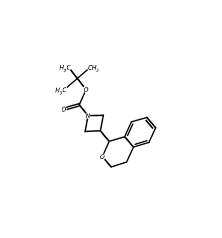 CC(C)(C)OC(=O)N1CC(C2OCCc3ccccc32)C1